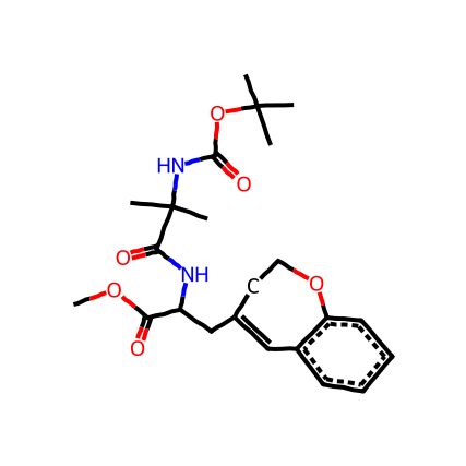 COC(=O)C(CC1=Cc2ccccc2OCC1)NC(=O)C(C)(C)NC(=O)OC(C)(C)C